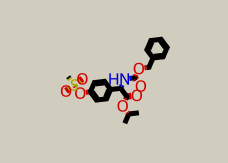 CC(C)OC(=O)C(NC(=O)OCc1ccccc1)c1ccc(OS(C)(=O)=O)cc1